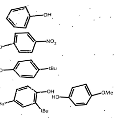 CC(C)(C)c1ccc(O)c(C(C)(C)C)c1.CC(C)(C)c1ccc(O)cc1.COc1ccc(O)cc1.O=[N+]([O-])c1ccc(O)cc1.Oc1ccccc1